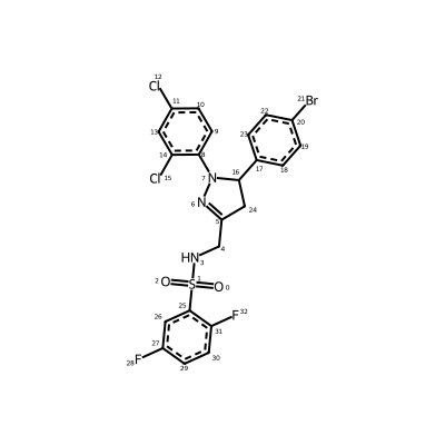 O=S(=O)(NCC1=NN(c2ccc(Cl)cc2Cl)C(c2ccc(Br)cc2)C1)c1cc(F)ccc1F